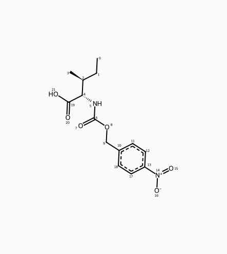 CC[C@H](C)[C@H](NC(=O)OCc1ccc([N+](=O)[O-])cc1)C(=O)O